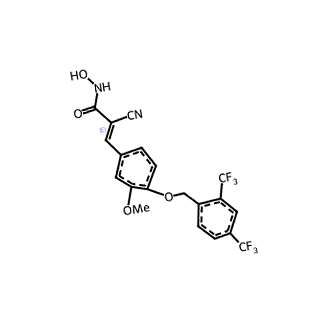 COc1cc(/C=C(\C#N)C(=O)NO)ccc1OCc1ccc(C(F)(F)F)cc1C(F)(F)F